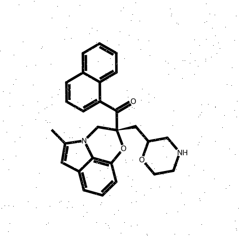 Cc1cc2cccc3c2n1C[C@](CC1CNCCO1)(C(=O)c1cccc2ccccc12)O3